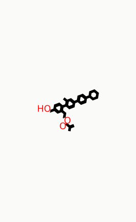 C=C(C)C(=O)OCCc1cc(CO)ccc1-c1ccc(-c2ccc(C3CCCCC3)cc2)cc1C